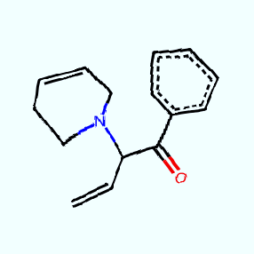 C=CC(C(=O)c1ccccc1)N1CC=CCC1